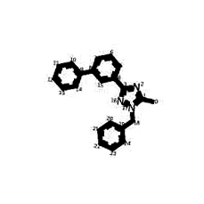 Cc1nc(-c2cccc(-c3ccccc3)c2)nn1Cc1ccccc1